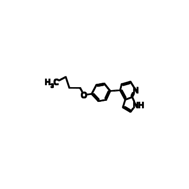 CCCCOc1ccc(-c2ccnc3[nH]ccc23)cc1